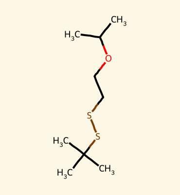 CC(C)OCCSSC(C)(C)C